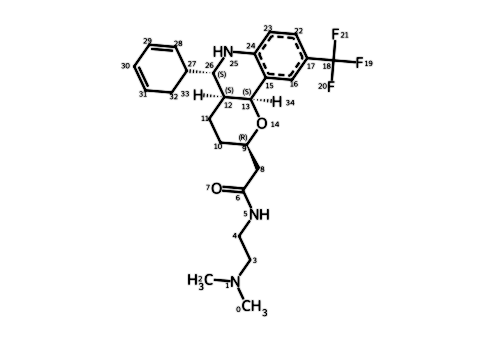 CN(C)CCNC(=O)C[C@H]1CC[C@@H]2[C@H](O1)c1cc(C(F)(F)F)ccc1N[C@H]2C1C=CC=CC1